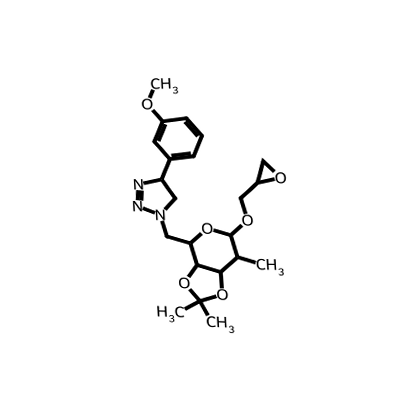 COc1cccc(C2CN(CC3OC(OCC4CO4)C(C)C4OC(C)(C)OC34)N=N2)c1